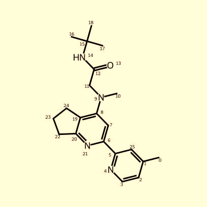 Cc1ccnc(-c2cc(N(C)CC(=O)NC(C)(C)C)c3c(n2)CCC3)c1